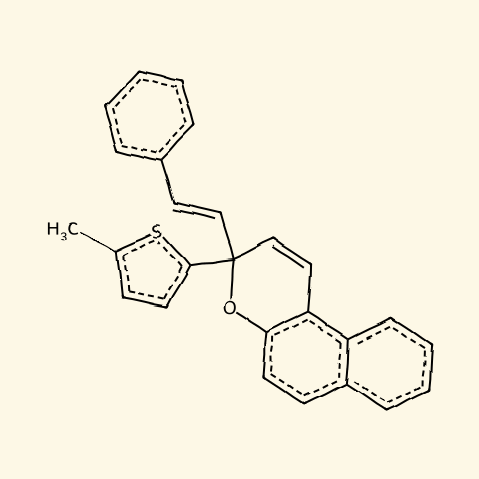 Cc1ccc(C2(C=Cc3ccccc3)C=Cc3c(ccc4ccccc34)O2)s1